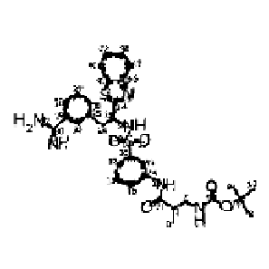 C[C@H](CNC(=O)OC(C)(C)C)C(=O)Nc1cccc(S(=O)(=O)NC(Cc2cccc(C(=N)N)c2)c2nc3ccccc3s2)c1